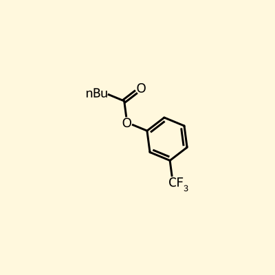 CCCCC(=O)Oc1cccc(C(F)(F)F)c1